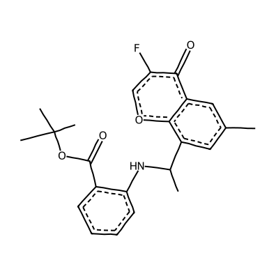 Cc1cc(C(C)Nc2ccccc2C(=O)OC(C)(C)C)c2occ(F)c(=O)c2c1